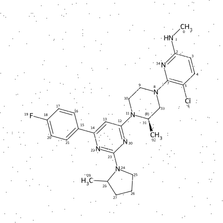 CNc1ccc(Cl)c(N2CCN(c3cc(-c4ccc(F)cc4)nc(N4CCCC4C)n3)[C@H](C)C2)n1